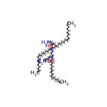 CCCCCC=CC/C=C\CCCCCCC(CCN(CCCCCC/C=C\CC=CCCCCC)CCCN(CCCCCCC=CC/C=C\CCCCC)CC(O)CN)CC(O)CN